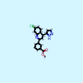 COC(=O)c1cccc(-c2cc(-c3ccn[nH]3)c3ccc(Cl)cc3n2)c1